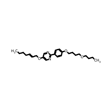 CCCCC=CCOc1cnc(-c2ccc(OCCCCOCCCC)cc2)nc1